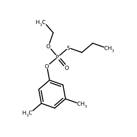 CCCSP(=O)(OCC)Oc1cc(C)cc(C)c1